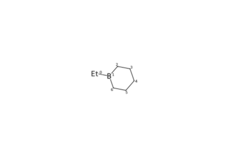 CCB1CCCCC1